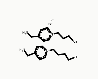 NCc1cc[n+](CCCCS)cc1.NCc1cc[n+](CCCS)cc1.[Br-].[Br-]